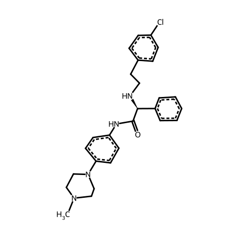 CN1CCN(c2ccc(NC(=O)[C@@H](NCCc3ccc(Cl)cc3)c3ccccc3)cc2)CC1